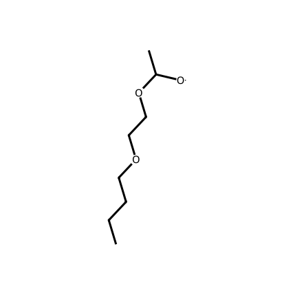 CCCCOCCOC(C)[O]